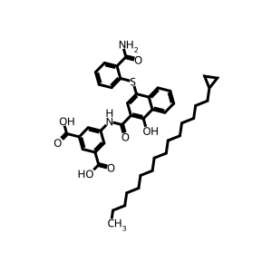 CCCCCCCCCCCCCCCC1CC1.NC(=O)c1ccccc1Sc1cc(C(=O)Nc2cc(C(=O)O)cc(C(=O)O)c2)c(O)c2ccccc12